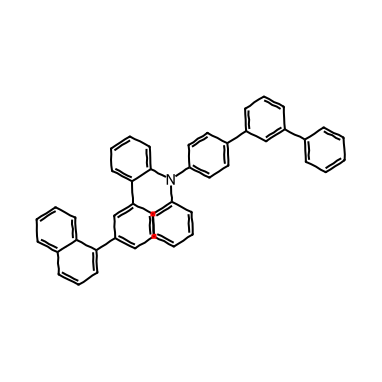 c1ccc(-c2cccc(-c3ccc(N(c4ccccc4)c4ccccc4-c4cccc(-c5cccc6ccccc56)c4)cc3)c2)cc1